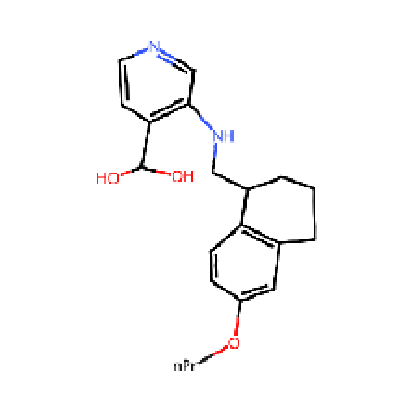 CCCOc1ccc2c(c1)CCCC2CNc1cnccc1C(O)O